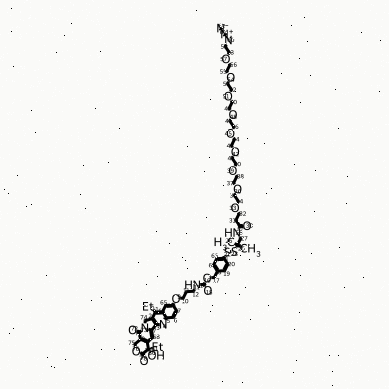 CCc1c2c(nc3ccc(OCCCNC(=O)OCc4ccc(SSC(C)(C)CNC(=O)CCOCCOCCOCCOCCOCCOCCOCCOCCOCCN=[N+]=[N-])cc4)cc13)-c1cc3c(c(=O)n1C2)COC(=O)[C@]3(O)CC